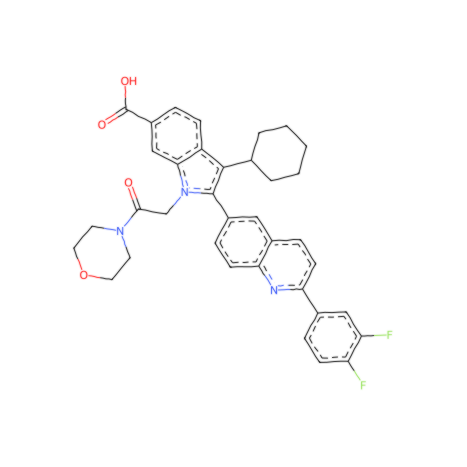 O=C(O)c1ccc2c(C3CCCCC3)c(-c3ccc4nc(-c5ccc(F)c(F)c5)ccc4c3)n(CC(=O)N3CCOCC3)c2c1